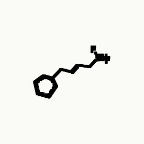 F[SiH](F)CC=CCc1ccccc1